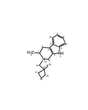 CC1Cc2c([nH]c3ccccc23)CN1CC1(F)CCC1